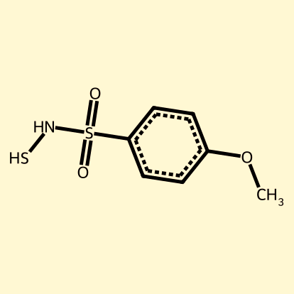 COc1ccc(S(=O)(=O)NS)cc1